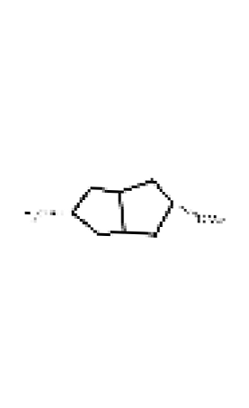 CO[C@H]1CC2C[C@@H](C)CC2C1